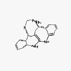 c1ccc2c(c1)NC1=C3C2=NCN[C@H]3c2ccccc2N1